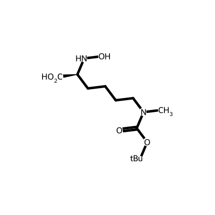 CN(CCCC[C@H](NO)C(=O)O)C(=O)OC(C)(C)C